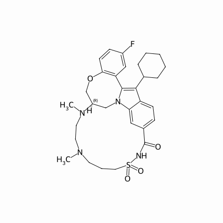 CN1CCCS(=O)(=O)NC(=O)c2ccc3c(C4CCCCC4)c4n(c3c2)C[C@H](COc2ccc(F)cc2-4)N(C)CC1